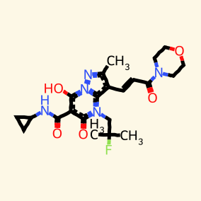 Cc1nn2c(O)c(C(=O)NC3CC3)c(=O)n(CC(C)(C)F)c2c1C=CC(=O)N1CCOCC1